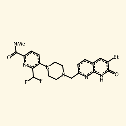 CCc1cc2ccc(CN3CCN(c4ccc(C(=O)NC)nc4C(F)F)CC3)nc2[nH]c1=O